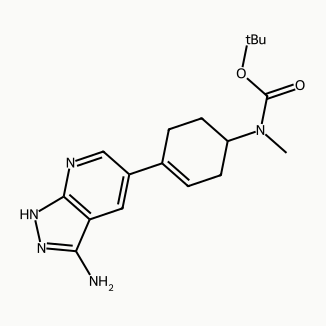 CN(C(=O)OC(C)(C)C)C1CC=C(c2cnc3[nH]nc(N)c3c2)CC1